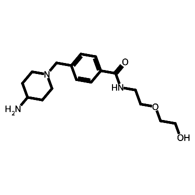 NC1CCN(Cc2ccc(C(=O)NCCOCCO)cc2)CC1